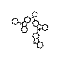 c1ccc(-n2c3ccccc3c3cc(C4(c5ccc6c(c5)c5ccccc5n6-c5ccc6sc7ccccc7c6c5)CCCC4)ccc32)cc1